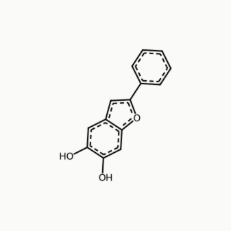 Oc1cc2cc(-c3ccccc3)oc2cc1O